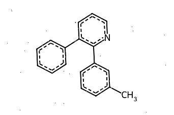 Cc1cccc(-c2ncc[c]c2-c2ccccc2)c1